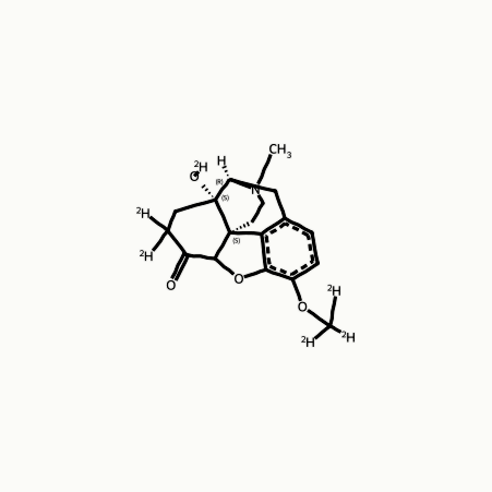 [2H]O[C@@]12CC([2H])([2H])C(=O)C3Oc4c(OC([2H])([2H])[2H])ccc5c4[C@@]31CCN(C)[C@@H]2C5